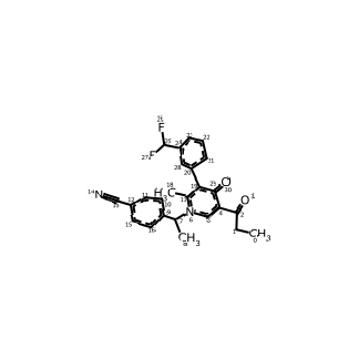 CCC(=O)c1cn(C(C)c2ccc(C#N)cc2)c(C)c(-c2cccc(C(F)F)c2)c1=O